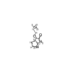 CN1C(=O)C(OCC[Si](C)(C)C)c2cccnc21